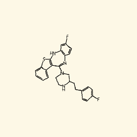 Fc1ccc(CCC2CN(C3=Nc4ccc(F)cc4Nc4sc5ccccc5c43)CCN2)cc1